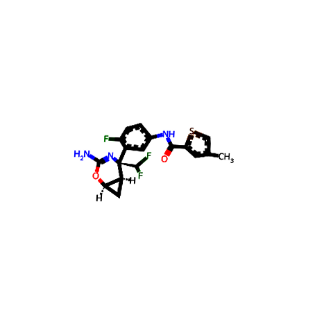 Cc1csc(C(=O)Nc2ccc(F)c([C@@]3(C(F)F)N=C(N)O[C@@H]4C[C@@H]43)c2)c1